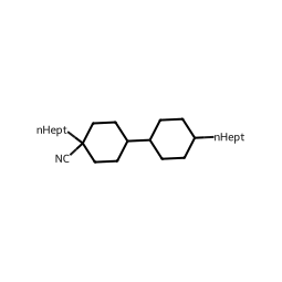 CCCCCCCC1CCC(C2CCC(C#N)(CCCCCCC)CC2)CC1